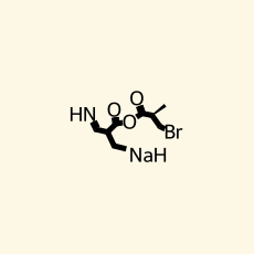 CCC(C=N)C(=O)OC(=O)[C@@H](C)CBr.[NaH]